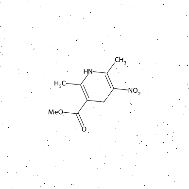 COC(=O)C1=C(C)NC(C)=C([N+](=O)[O-])C1